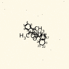 C[C@@H]1c2ccccc2[C@H](C)C1(NC(=O)c1cccc2c1CCCC2)C(=O)O